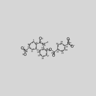 CN(C(=O)c1ccc([N+](=O)[O-])cc1)c1ccccc1OC(=O)c1ccc([N+](=O)[O-])cc1